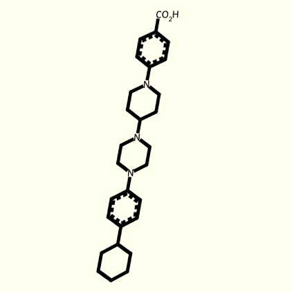 O=C(O)c1ccc(N2CCC(N3CCN(c4ccc(C5CCCCC5)cc4)CC3)CC2)cc1